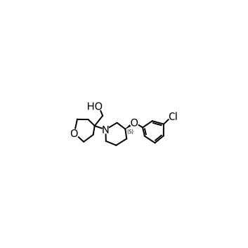 OCC1(N2CCC[C@H](Oc3cccc(Cl)c3)C2)CCOCC1